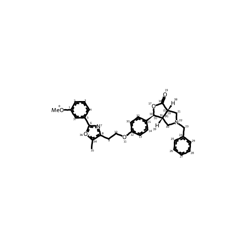 COc1cccc(-c2nc(CCOc3ccc([C@H]4OC(=O)[C@@H]5CN(Cc6ccccc6)C[C@H]45)cc3)c(C)o2)c1